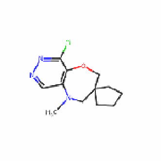 CN1CC2(CCCC2)COc2c1cnnc2Cl